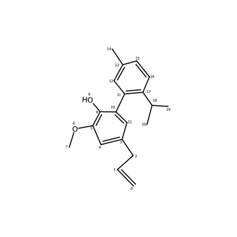 C=CCc1cc(OC)c(O)c(-c2cc(C)ccc2C(C)C)c1